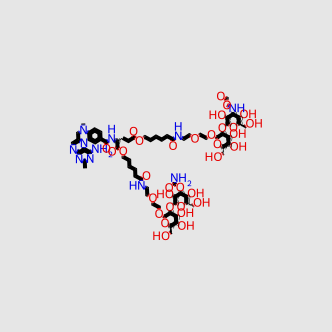 Cc1nc(N)c2nc(CN(C)c3ccc(C(=O)N[C@H](CCC(=O)OCCCCCC(=O)NCCOCCOC4O[C@@H](CO)[C@@H](O)[C@H](O)[C@@H]4O[C@H]4O[C@H](CO)[C@@H](O)[C@H](NOC=O)[C@@H]4O)C(=O)OCCCCCC(=O)NCCOCCOC4O[C@H](CO)[C@H](O)[C@@H](O)[C@H]4O[C@@H]4O[C@@H](CO)[C@H](O)[C@@H](OC(N)=O)[C@H]4O)cc3)cnc2n1